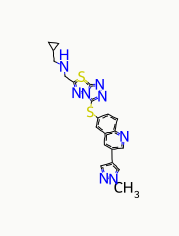 Cn1cc(-c2cnc3ccc(Sc4nnc5sc(CNCC6CC6)nn45)cc3c2)cn1